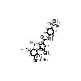 CCCCOc1c(Br)cc(C)cc1-c1c(C)c(C(=O)Nc2ccc(S(C)(=O)=O)cc2)cn1C